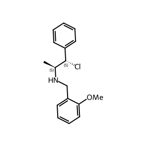 COc1ccccc1CN[C@@H](C)[C@@H](Cl)c1ccccc1